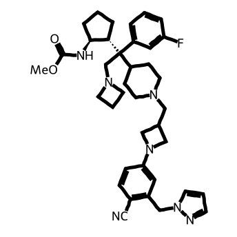 COC(=O)N[C@H]1CCC[C@@H]1C(CN1CCC1)(c1cccc(F)c1)C1CCN(CC2CN(c3ccc(C#N)c(Cn4cccn4)c3)C2)CC1